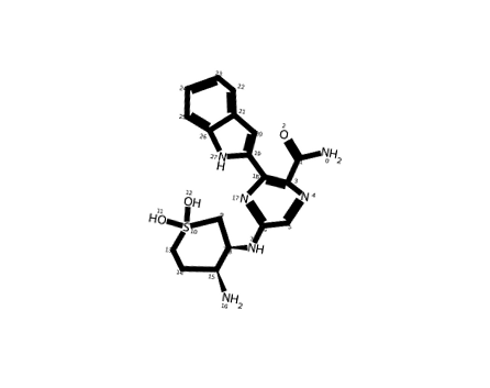 NC(=O)c1ncc(N[C@@H]2CS(O)(O)CC[C@@H]2N)nc1-c1cc2ccccc2[nH]1